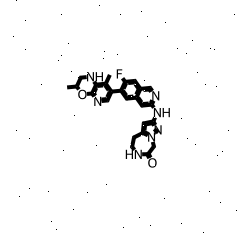 Cc1c(-c2cc3cc(Nc4cc5n(n4)CC(=O)NCC5)ncc3cc2F)cnc2c1NCC(C)O2